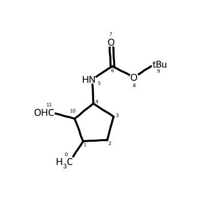 CC1CCC(NC(=O)OC(C)(C)C)C1C=O